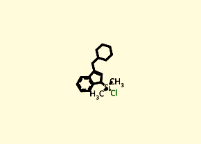 C[Si](C)(Cl)C1C=C(CC2CCCCC2)c2ccccc21